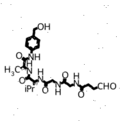 CC(C)[C@H](NC(=O)CNC(=O)CNC(=O)CCC=O)C(=O)N[C@@H](C)C(=O)Nc1ccc(CO)cc1